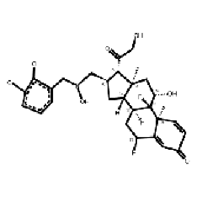 C[C@]12C[C@H](O)[C@@]3(F)[C@@H](C[C@H](F)C4=CC(=O)C=C[C@@]43C)[C@@H]1C[C@@H](CN(O)Cc1cccc(Cl)c1Cl)[C@@H]2C(=O)CO